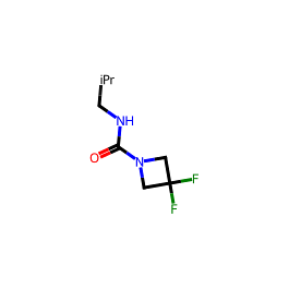 CC(C)CNC(=O)N1CC(F)(F)C1